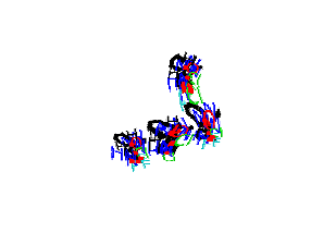 Cc1nc(-c2ccn[nH]2)c2c(n1)C1CCCC(C2)N1C(=O)c1cccc(C(F)(F)F)c1Cl.Cc1nc(-c2ccn[nH]2)c2c(n1)[C@@H]1CCC[C@H](C2)N1C(=O)c1ccc(Cl)cc1Cl.Cc1nc(-c2ccn[nH]2)c2c(n1)[C@@H]1CCC[C@H](C2)N1C(=O)c1ccc(F)c(Cl)c1Cl.Cc1nc(-c2ccn[nH]2)c2c(n1)[C@@H]1CCC[C@H](C2)N1C(=O)c1cccc(C(F)(F)F)c1Cl